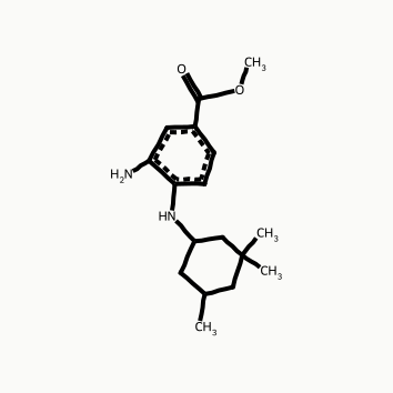 COC(=O)c1ccc(NC2CC(C)CC(C)(C)C2)c(N)c1